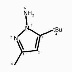 Cc1cc(C(C)(C)C)n(N)n1